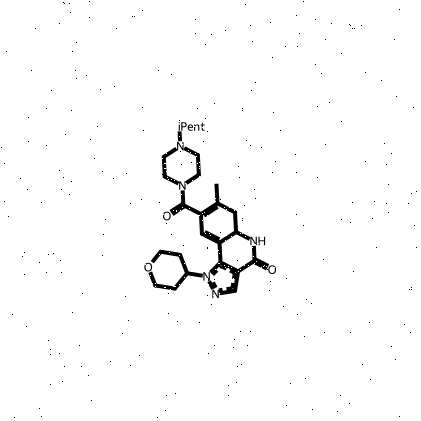 CCCC(C)N1CCN(C(=O)C2=C(C)CC3NC(=O)c4cnn(C5CCOCC5)c4C3=C2)CC1